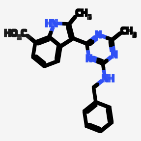 Cc1nc(NCc2ccccc2)nc(-c2c(C)[nH]c3c(C(=O)O)cccc23)n1